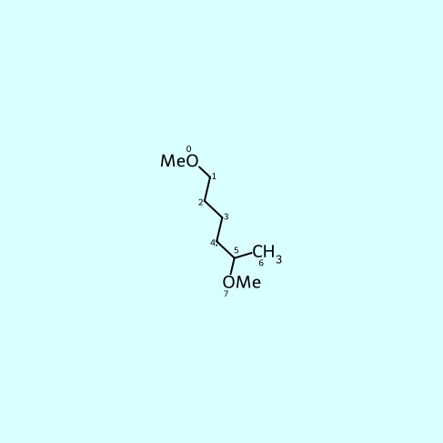 COCCC[CH]C(C)OC